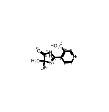 CC(C)C1(C)N=C(c2ccncc2C(=O)O)NC1=O